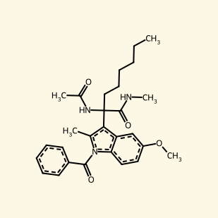 CCCCCCC(NC(C)=O)(C(=O)NC)c1c(C)n(C(=O)c2ccccc2)c2ccc(OC)cc12